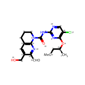 COC[C@H](C)Oc1nc(NC(=O)N2CCCc3cc(CO)c(C=O)nc32)ncc1Cl